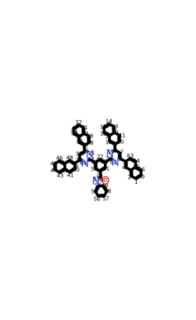 c1ccc2cc(-c3cc(-c4ccc5ccccc5c4)nc(-c4cc(-c5nc(-c6ccc7ccccc7c6)cc(-c6ccc7ccccc7c6)n5)cc(-c5nc6ccccc6o5)c4)n3)ccc2c1